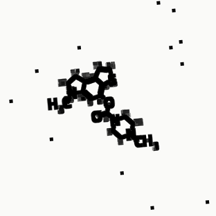 CN1CCN(C(=O)Oc2cc3c(c4ccsc24)CCN3C)CC1